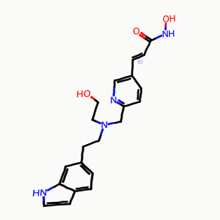 O=C(/C=C/c1ccc(CN(CCO)CCc2ccc3cc[nH]c3c2)nc1)NO